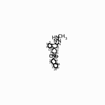 CNc1ncc2c(n1)-c1ccccc1C1(CCN(S(=O)(=O)c3ccc4ccccc4c3)CC1)C2